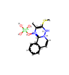 CSC1=C(C)[N+](O[Cl+3]([O-])([O-])[O-])=C2c3ccccc3C=CN2N1